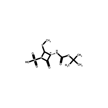 CSC1[C@H](NC(=O)OC(C)(C)C)C(=O)N1S(=O)(=O)O